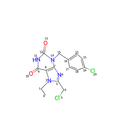 CCn1c(CCl)nc2c1c(=O)[nH]c(=O)n2Cc1ccc(Cl)cc1